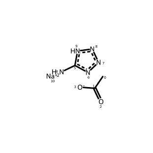 CC(=O)[O-].Nc1nnn[nH]1.[Na+]